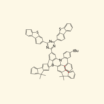 CC(C)(C)c1ccc(N2c3cc4c(cc3B3c5cc6c(cc5-c5cc(-c7nc(-c8ccc9c(c8)sc8ccccc89)nc(-c8ccc9c(c8)sc8ccccc89)n7)cc2c53)-c2ccccc2C6(C)C)C(C)(C)c2ccccc2-4)c(-c2ccccc2)c1